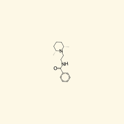 C[C@@H]1CCC[C@H](C)N1CCNC(=O)c1ccccc1